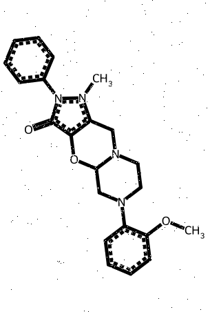 COc1ccccc1N1CCN2Cc3c(c(=O)n(-c4ccccc4)n3C)OC2C1